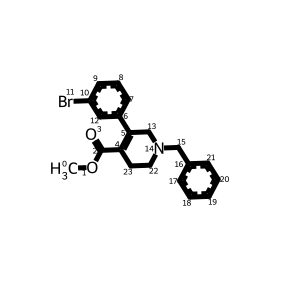 COC(=O)C1=C(c2cccc(Br)c2)CN(Cc2ccccc2)CC1